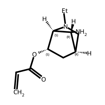 C=CC(=O)O[C@H]1C[C@@H]2CN(CC)[C@H]1[C@@H]2N